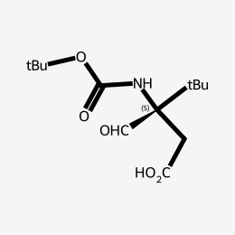 CC(C)(C)OC(=O)N[C@@](C=O)(CC(=O)O)C(C)(C)C